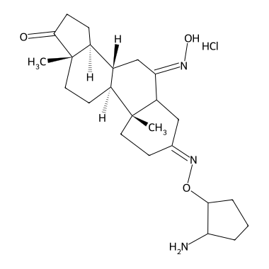 C[C@]12CC/C(=N\OC3CCCC3N)CC1/C(=N/O)C[C@@H]1[C@@H]2CC[C@]2(C)C(=O)CC[C@@H]12.Cl